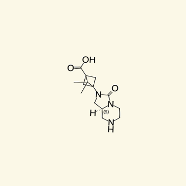 CC1(C)C2(C(=O)O)CC1(N1C[C@@H]3CNCCN3C1=O)C2